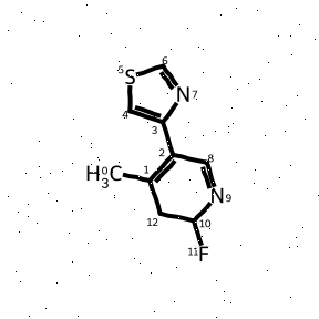 CC1=C(c2cscn2)C=NC(F)C1